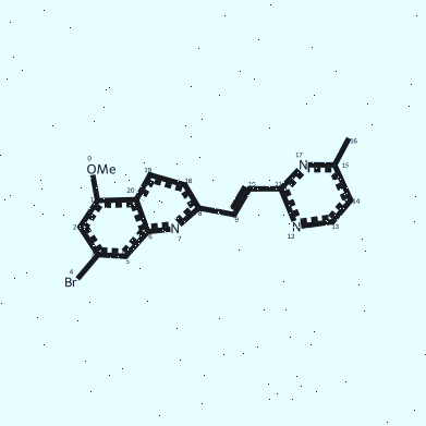 COc1cc(Br)cc2nc(/C=C/c3nccc(C)n3)ccc12